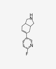 Fc1ccc(C2=CCC3CNCC3C2)cn1